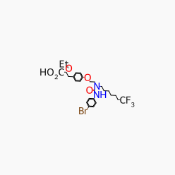 CCOC(Cc1ccc(OCCN(CCCCCCC(F)(F)F)C(=O)Nc2ccc(Br)cc2)cc1)C(=O)O